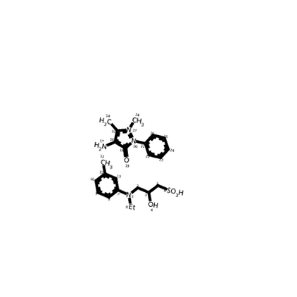 CCN(CC(O)CS(=O)(=O)O)c1cccc(C)c1.Cc1c(N)c(=O)n(-c2ccccc2)n1C